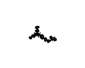 c1ccc(-c2ccc(-c3nc(-c4ccc(-c5ccccc5)cc4)nc(-c4ccc(-c5ccc(-c6cccc(-c7nc8c9ccccc9ccc8c8ccccc78)c6)cc5)cc4)n3)cc2)cc1